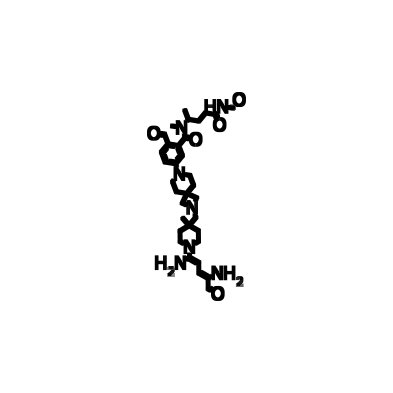 CC(CCC(=O)NC=O)N(C)C(=O)c1cc(N2CCC3(CC2)CN(CC2(C)CCN(/C(N)=C/C=C(\N)C=O)CC2)C3)ccc1C=O